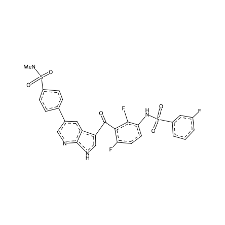 CNS(=O)(=O)c1ccc(-c2cnc3[nH]cc(C(=O)c4c(F)ccc(NS(=O)(=O)c5cccc(F)c5)c4F)c3c2)cc1